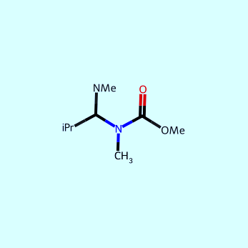 CNC(C(C)C)N(C)C(=O)OC